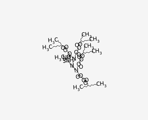 CCCCCCC(CCCC)COC(=O)OCCOC(=O)CCN(CCCN(CCCNC(=S)NC)CCCN(CCC(=O)OCCOC(=O)OCC(CCCC)CCCCCC)CCC(=O)OCCOC(=O)OCC(CCCC)CCCCCC)CCC(=O)OCCOC(=O)OCC(CCCC)CCCCCC